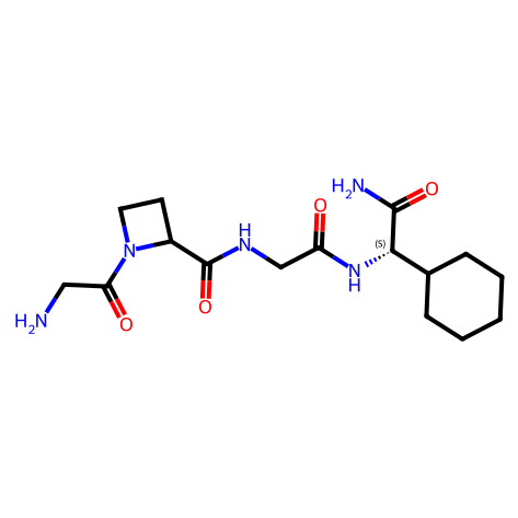 NCC(=O)N1CCC1C(=O)NCC(=O)N[C@H](C(N)=O)C1CCCCC1